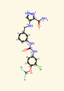 NC(=O)c1n[nH]cc1NCc1cccc(NC(=O)Nc2ccc(OC(F)F)c(Cl)c2)c1